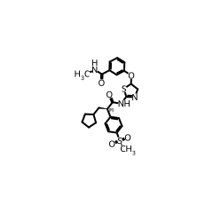 CNC(=O)c1cccc(OC2CN=C(NC(=O)[C@H](CC3CCCC3)c3ccc(S(C)(=O)=O)cc3)S2)c1